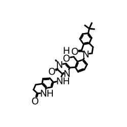 Cn1cc(-c2cccc(N3CCc4cc(C(C)(C)C)ccc4C3=O)c2CO)nc(Nc2ccc3c(c2)NC(=O)CC3)c1=O